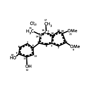 COc1cc2cc(-c3ccc(O)c(O)c3)n(C)[c+](C)c2cc1OC.[Cl-]